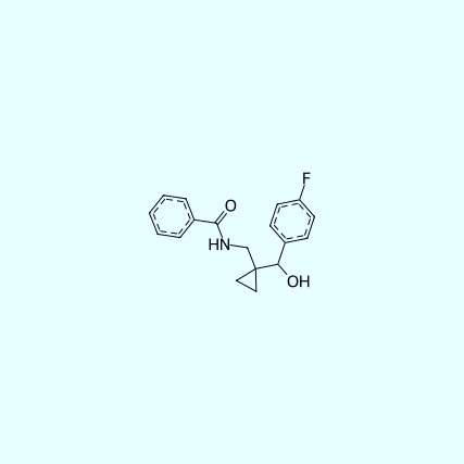 O=C(NCC1(C(O)c2ccc(F)cc2)CC1)c1ccccc1